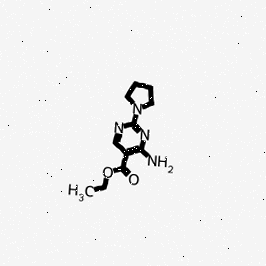 CCOC(=O)c1cnc(N2CCCC2)nc1N